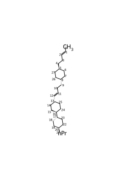 CC=CCC[C@H]1CC[C@H](CCC=C[C@H]2CC[C@H]([C@H]3CC[C@H](CCC)CC3)CC2)CC1